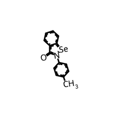 Cc1ccc(-n2[se]c3ccccc3c2=O)cc1